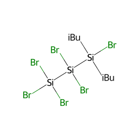 CCC(C)[Si](Br)(C(C)CC)[Si](Br)(Br)[Si](Br)(Br)Br